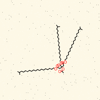 CC(=O)OC(CC(=O)OCCCCCCCCCCCCCCCCCC(C)C)(CC(=O)OCCCCCCCCCCCCCCCCCC(C)C)C(=O)OCCCCCCCCCCCCCCCCCC(C)C